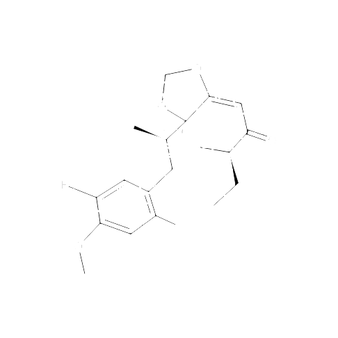 CC[C@H]1C[C@]2([C@H](C)Cc3cc(F)c(OC)cc3F)OCOC2=CC1=O